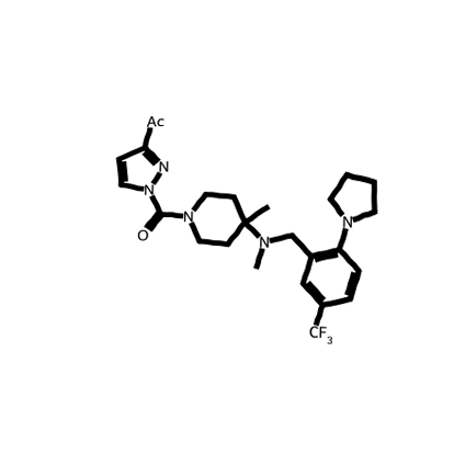 CC(=O)c1ccn(C(=O)N2CCC(C)(N(C)Cc3cc(C(F)(F)F)ccc3N3CCCC3)CC2)n1